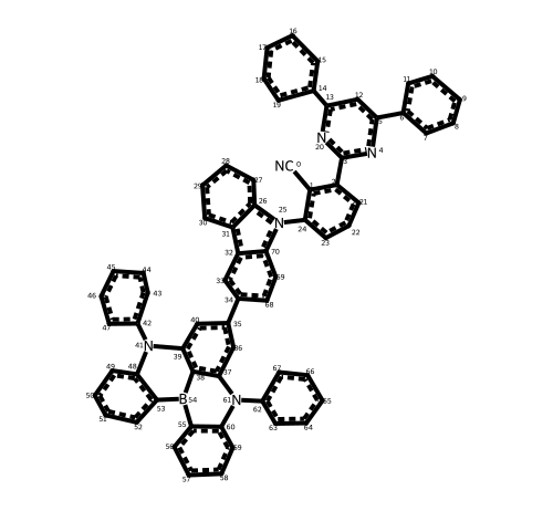 N#Cc1c(-c2nc(-c3ccccc3)cc(-c3ccccc3)n2)cccc1-n1c2ccccc2c2cc(-c3cc4c5c(c3)N(c3ccccc3)c3ccccc3B5c3ccccc3N4c3ccccc3)ccc21